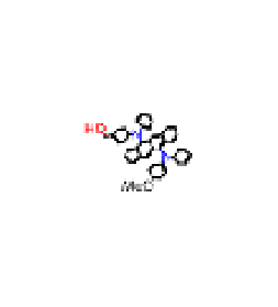 COc1ccc(N(c2ccccc2)c2c3ccccc3cc3c(N(c4ccccc4)c4ccc(CO)cc4)c4ccccc4cc23)cc1